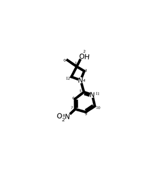 CC1(O)CN(c2cc([N+](=O)[O-])ccn2)C1